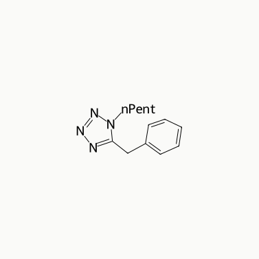 CCCCCn1nnnc1Cc1ccccc1